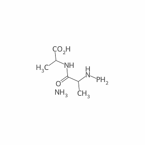 CC(NC(=O)C(C)NP)C(=O)O.N